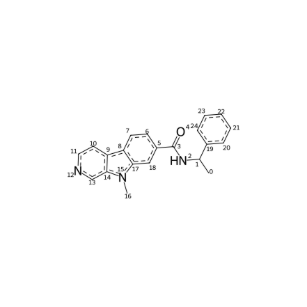 CC(NC(=O)c1ccc2c3ccncc3n(C)c2c1)c1ccccc1